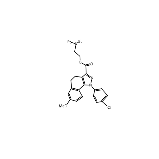 CCN(CC)CCOC(=O)c1nn(-c2ccc(Cl)cc2)c2c1CCc1cc(OC)ccc1-2